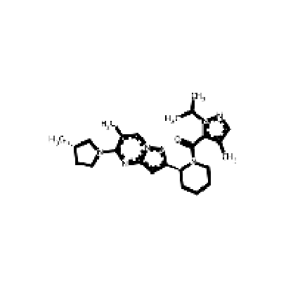 Cc1cn2nc([C@@H]3CCCCN3C(=O)c3c(C)cnn3C(C)C)cc2nc1N1CC[C@H](C)C1